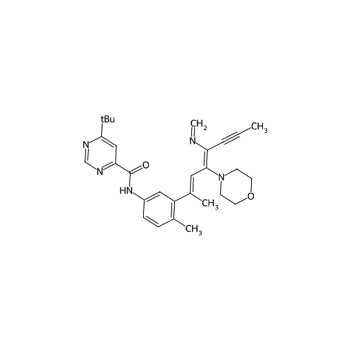 C=N/C(C#CC)=C(\C=C(/C)c1cc(NC(=O)c2cc(C(C)(C)C)ncn2)ccc1C)N1CCOCC1